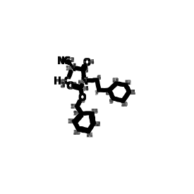 CN(C#N)C(=O)N(CCC1CCCCC1)C(=O)OCc1ccccc1